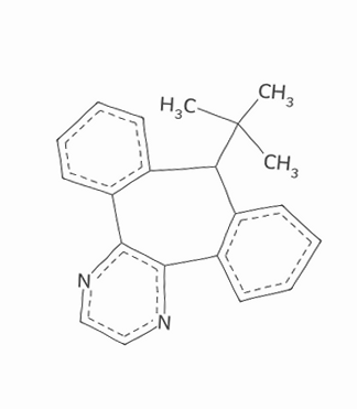 CC(C)(C)C1c2ccccc2-c2nccnc2-c2ccccc21